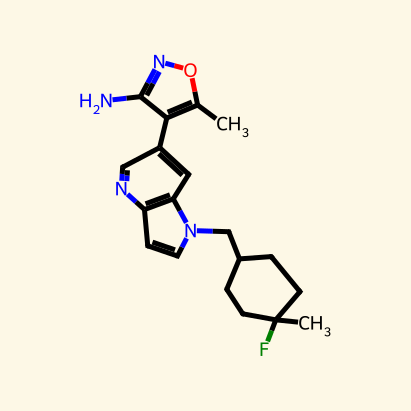 Cc1onc(N)c1-c1cnc2ccn(CC3CCC(C)(F)CC3)c2c1